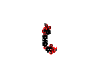 COOC(=O)c1ccc(Oc2ccc(C(C)(C)c3ccc(Oc4cccc(C(=O)OOC)c4C(=O)O)cc3)cc2)cc1C(=O)O